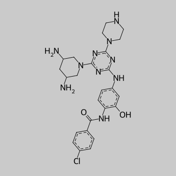 NC1CC(N)CN(c2nc(Nc3ccc(NC(=O)c4ccc(Cl)cc4)c(O)c3)nc(N3CCNCC3)n2)C1